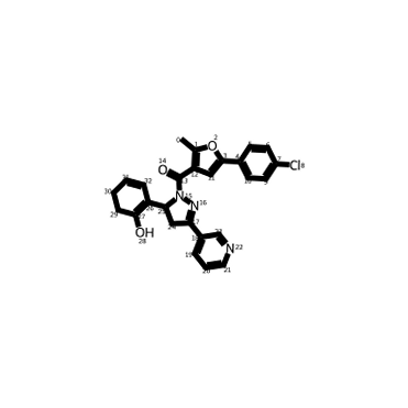 Cc1oc(-c2ccc(Cl)cc2)cc1C(=O)N1N=C(c2cccnc2)CC1C1=C(O)CCC=C1